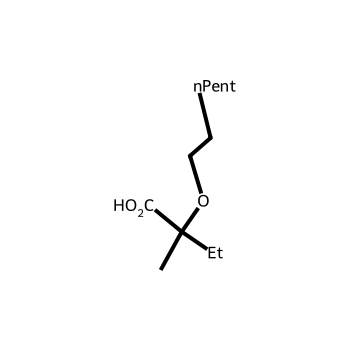 CCCCCCCOC(C)(CC)C(=O)O